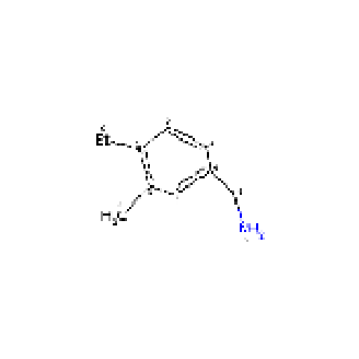 CCc1ccc(CN)cc1C